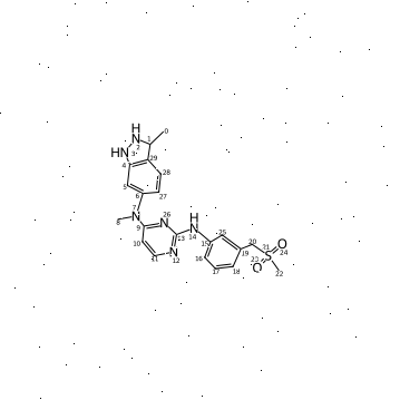 CC1NNc2cc(N(C)c3ccnc(Nc4cccc(CS(C)(=O)=O)c4)n3)ccc21